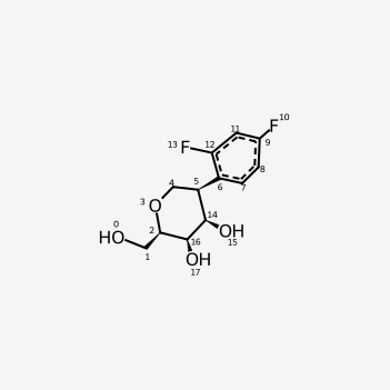 OC[C@H]1OC[C@@H](c2ccc(F)cc2F)[C@@H](O)[C@H]1O